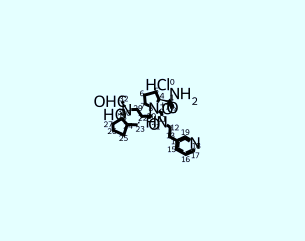 Cl.NC(=O)[C@@H]1CCC[N+]1(C(=O)NCCc1cccnc1)C(=O)[C@H](CC1CCCC1)CN(O)C=O